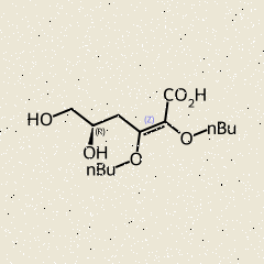 CCCCO/C(C[C@@H](O)CO)=C(\OCCCC)C(=O)O